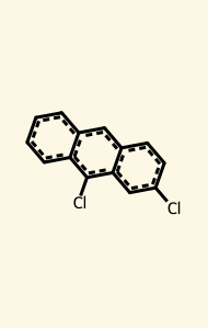 Clc1ccc2cc3ccccc3c(Cl)c2c1